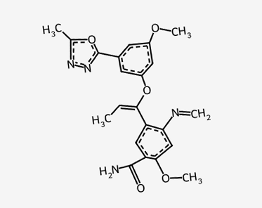 C=Nc1cc(OC)c(C(N)=O)cc1/C(=C\C)Oc1cc(OC)cc(-c2nnc(C)o2)c1